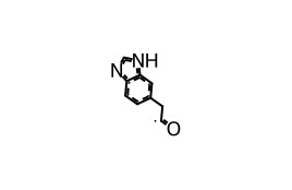 O=[C]Cc1ccc2nc[nH]c2c1